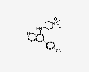 Cc1cc(-c2cc(NC3CCN(S(C)(=O)=O)CC3)c3cnccc3c2)ccc1C#N